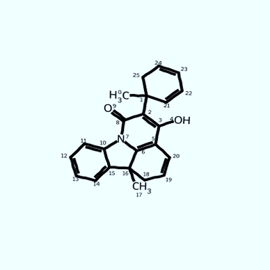 CC1(c2c(O)c3c4n(c2=O)-c2ccccc2C4(C)CC=C3)C=CC=CC1